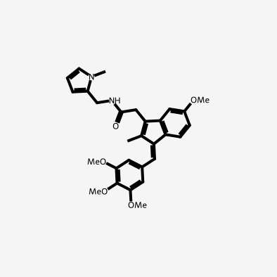 COc1ccc2c(c1)C(CC(=O)NCc1cccn1C)=C(C)C2=Cc1cc(OC)c(OC)c(OC)c1